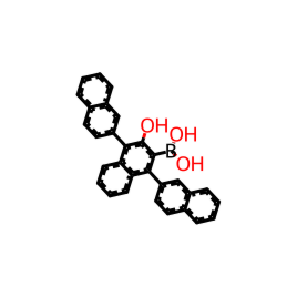 OB(O)c1c(O)c(-c2ccc3ccccc3c2)c2ccccc2c1-c1ccc2ccccc2c1